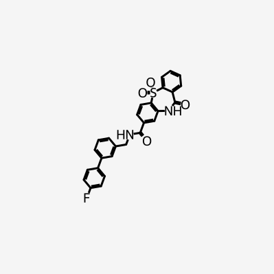 O=C(NCc1cccc(-c2ccc(F)cc2)c1)c1ccc2c(c1)NC(=O)c1ccccc1S2(=O)=O